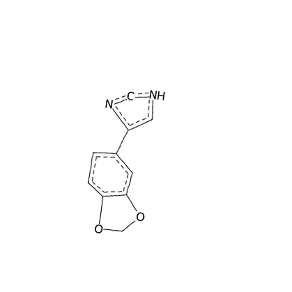 c1nc(-c2ccc3c(c2)OCO3)c[nH]1